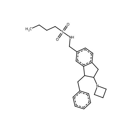 CCCCS(=O)(=O)NCc1ccc2c(c1)C(Cc1ccccc1)C(N1CCC1)C2